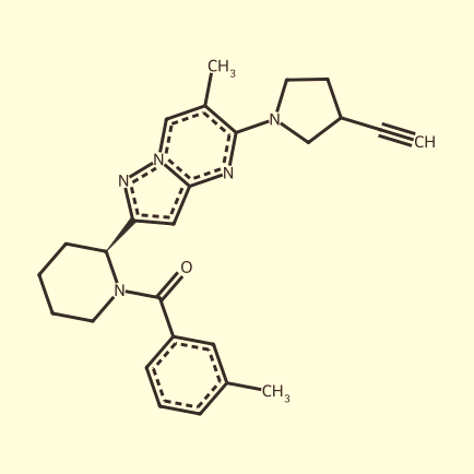 C#CC1CCN(c2nc3cc([C@@H]4CCCCN4C(=O)c4cccc(C)c4)nn3cc2C)C1